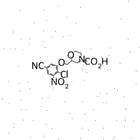 N#Cc1cc(OCC2CN(C(=O)O)CCO2)c(Cl)c([N+](=O)[O-])c1